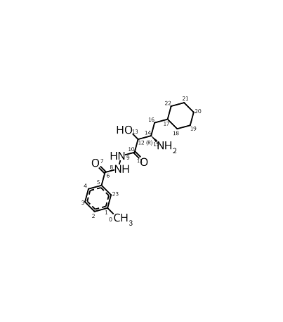 Cc1cccc(C(=O)NNC(=O)C(O)[C@H](N)CC2CCCCC2)c1